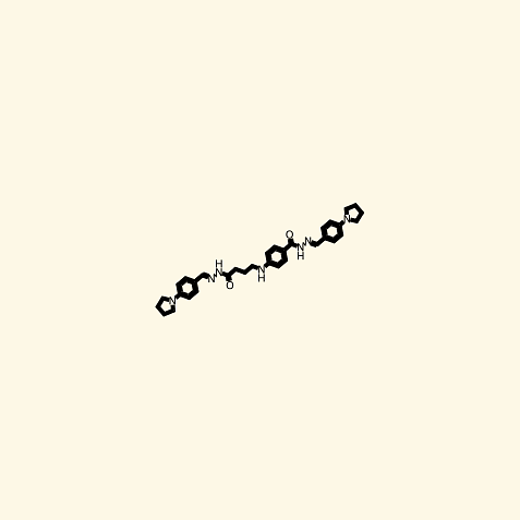 O=C(CCCNc1ccc(C(=O)N/N=C/c2ccc(N3CCCC3)cc2)cc1)N/N=C/c1ccc(N2CCCC2)cc1